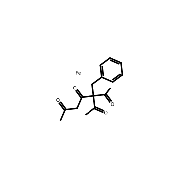 CC(=O)CC(=O)C(Cc1ccccc1)(C(C)=O)C(C)=O.[Fe]